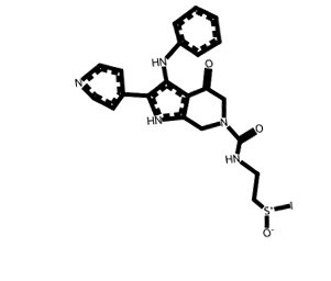 O=C1CN(C(=O)NCC[S+]([O-])I)Cc2[nH]c(-c3ccncc3)c(Nc3ccccc3)c21